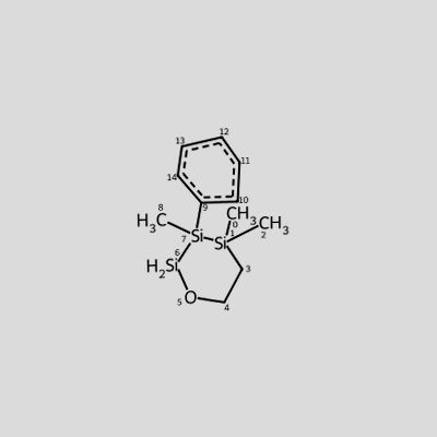 C[Si]1(C)CCO[SiH2][Si]1(C)c1ccccc1